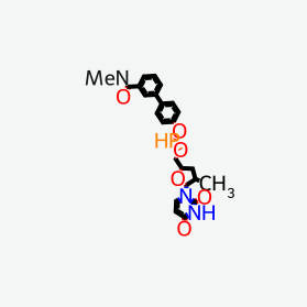 CNC(=O)c1cccc(-c2ccc(OPOCC3CC(C)C(n4ccc(=O)[nH]c4=O)O3)cc2)c1